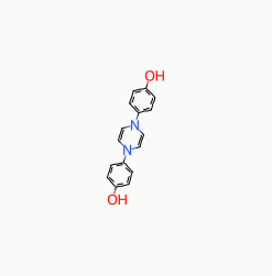 Oc1ccc(N2C=CN(c3ccc(O)cc3)C=C2)cc1